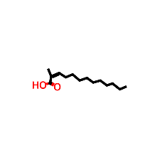 CCCCCCCCCCC=C(C)C(=O)O